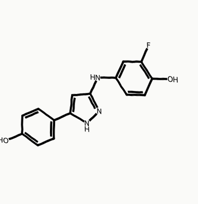 Oc1ccc(-c2cc(Nc3ccc(O)c(F)c3)n[nH]2)cc1